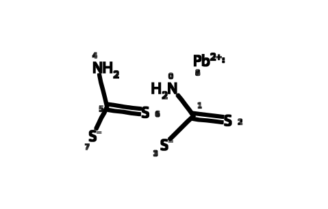 NC(=S)[S-].NC(=S)[S-].[Pb+2]